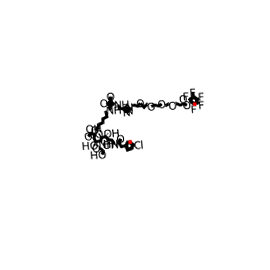 O=C(Cc1ccc(Cl)cc1)NC[C@@H](O)[C@@H](O)[C@@H]1O[C@@](OCCCCCCNc2c(NCc3cn(CCOCCOCCOCCOCCC(=O)Oc4c(F)c(F)c(F)c(F)c4F)nn3)c(=O)c2=O)(C(=O)O)C[C@H](O)[C@H]1NC(=O)CO